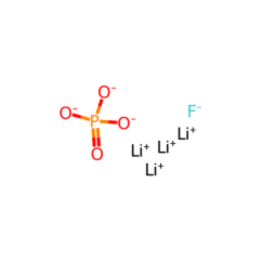 O=P([O-])([O-])[O-].[F-].[Li+].[Li+].[Li+].[Li+]